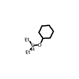 CC[SiH](CC)OC1CCCCC1